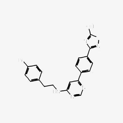 Oc1nc(-c2ccc(-c3cc(NCCc4ccc(Br)cc4)ncn3)cc2)no1